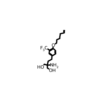 C=CCCCCOc1ccc(CCC(N)(CO)CO)cc1C(F)(F)F